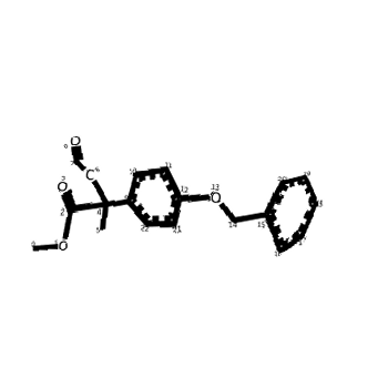 COC(=O)C(C)(CC=O)c1ccc(OCc2ccccc2)cc1